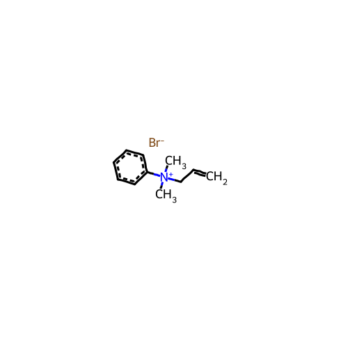 C=CC[N+](C)(C)c1ccccc1.[Br-]